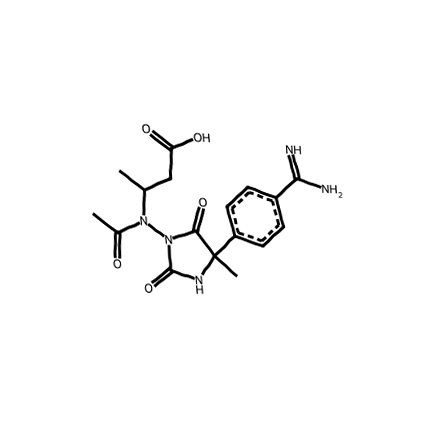 CC(=O)N(C(C)CC(=O)O)N1C(=O)NC(C)(c2ccc(C(=N)N)cc2)C1=O